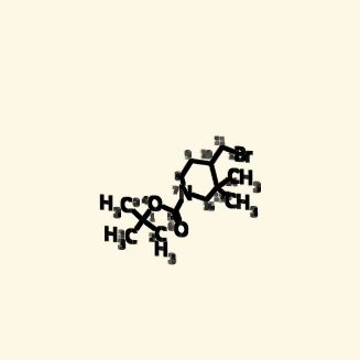 CC(C)(C)OC(=O)N1CCC(CBr)C(C)(C)C1